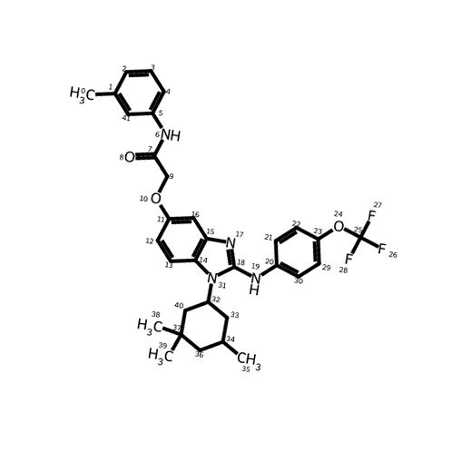 Cc1cccc(NC(=O)COc2ccc3c(c2)nc(Nc2ccc(OC(F)(F)F)cc2)n3C2CC(C)CC(C)(C)C2)c1